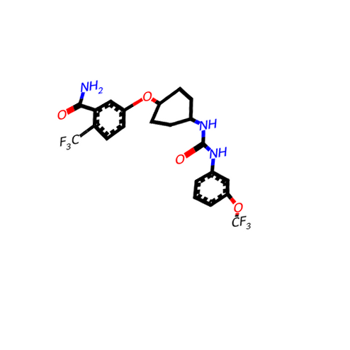 NC(=O)c1cc(OC2CCC(NC(=O)Nc3cccc(OC(F)(F)F)c3)CC2)ccc1C(F)(F)F